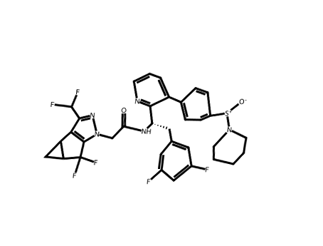 O=C(Cn1nc(C(F)F)c2c1C(F)(F)C1CC21)N[C@@H](Cc1cc(F)cc(F)c1)c1ncccc1-c1ccc([S+]([O-])N2CCCCC2)cc1